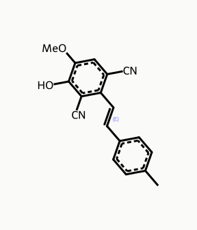 COc1cc(C#N)c(/C=C/c2ccc(C)cc2)c(C#N)c1O